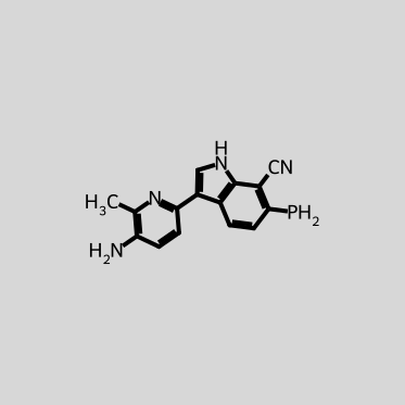 Cc1nc(-c2c[nH]c3c(C#N)c(P)ccc23)ccc1N